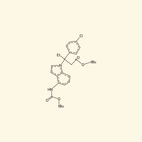 CCC(CC(=O)OC(C)(C)C)(c1ccc(Cl)cc1)n1ccc2c(NC(=O)OC(C)(C)C)cccc21